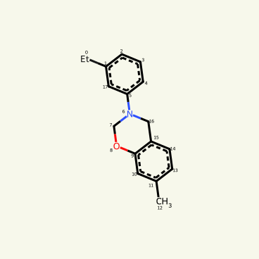 CCc1cccc(N2COc3cc(C)ccc3C2)c1